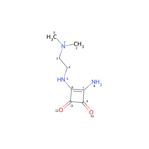 CN(C)CCNc1c(N)c(=O)c1=O